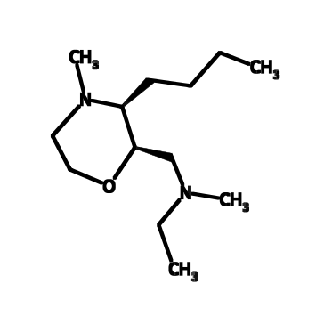 CCCC[C@H]1[C@@H](CN(C)CC)OCCN1C